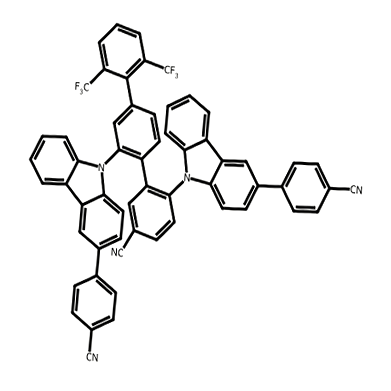 N#Cc1ccc(-c2ccc3c(c2)c2ccccc2n3-c2ccc(C#N)cc2-c2ccc(-c3c(C(F)(F)F)cccc3C(F)(F)F)cc2-n2c3ccccc3c3cc(-c4ccc(C#N)cc4)ccc32)cc1